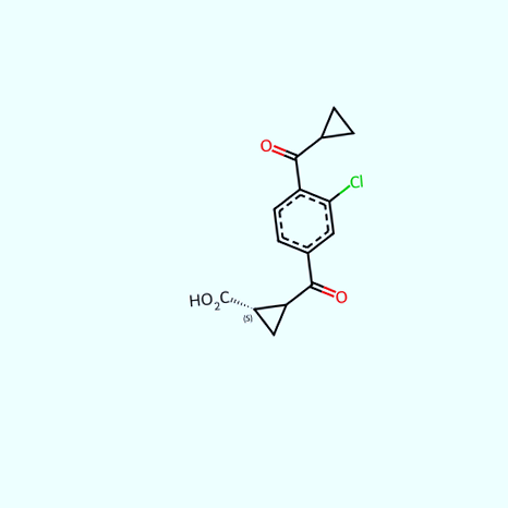 O=C(c1ccc(C(=O)C2C[C@@H]2C(=O)O)cc1Cl)C1CC1